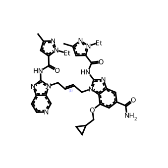 CCn1nc(C)cc1C(=O)Nc1nc2ccncc2n1C/C=C/Cn1c(NC(=O)c2cc(C)nn2CC)nc2cc(C(N)=O)cc(OCC3CC3)c21